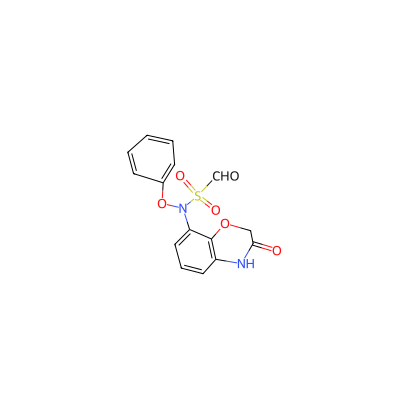 O=CS(=O)(=O)N(Oc1ccccc1)c1cccc2c1OCC(=O)N2